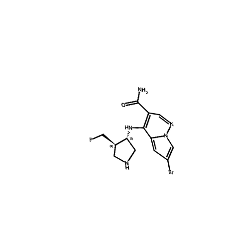 NC(=O)c1cnn2cc(Br)cc2c1N[C@@H]1CNC[C@H]1CF